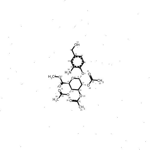 COC(=O)[C@H]1O[C@H](Oc2ccc(CO)cc2N)[C@H](OC(C)=O)[C@@H](OC(C)=O)[C@@H]1OC(C)=O